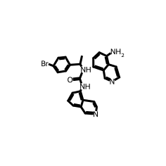 CC(NC(=O)Nc1cccc2cnccc12)c1ccc(Br)cc1.Nc1cccc2cnccc12